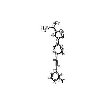 CCC(N)c1nc(-c2ccc(C#Cc3cccc(F)c3)cn2)no1